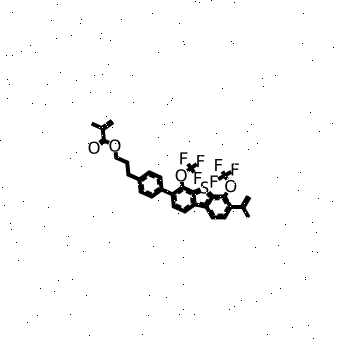 C=C(C)C(=O)OCCCc1ccc(-c2ccc3c(sc4c(OC(F)(F)F)c(C(=C)C)ccc43)c2OC(F)(F)F)cc1